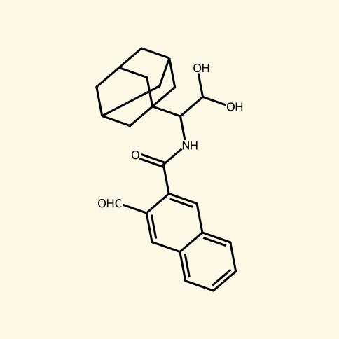 O=Cc1cc2ccccc2cc1C(=O)NC(C(O)O)C12CC3CC(CC(C3)C1)C2